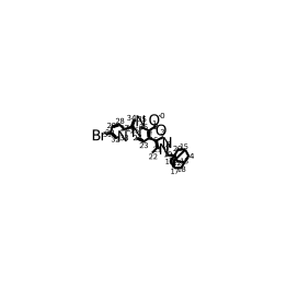 COC(=O)c1c(-c2cnn(CC34CC5CC(CC(C5)C3)C4)c2C)ccn2c(-c3ccc(Br)cn3)cnc12